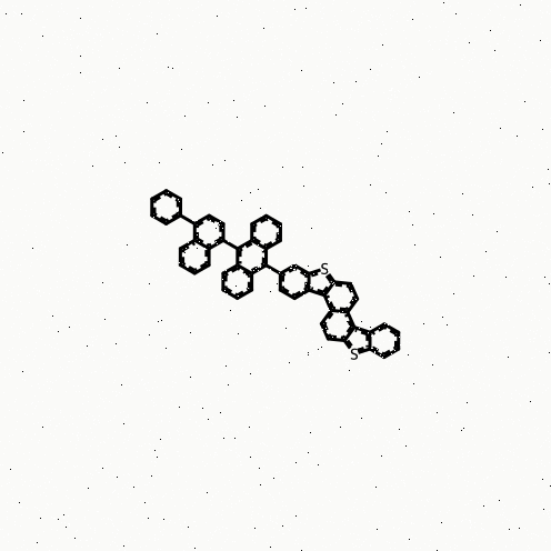 c1ccc(-c2ccc(-c3c4ccccc4c(-c4ccc5c(c4)sc4ccc6c(ccc7sc8ccccc8c76)c45)c4ccccc34)c3ccccc23)cc1